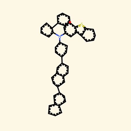 c1ccc(-c2ccccc2N(c2ccc(-c3ccc4cc(-c5ccc6ccccc6c5)ccc4c3)cc2)c2ccc3sc4ccccc4c3c2)cc1